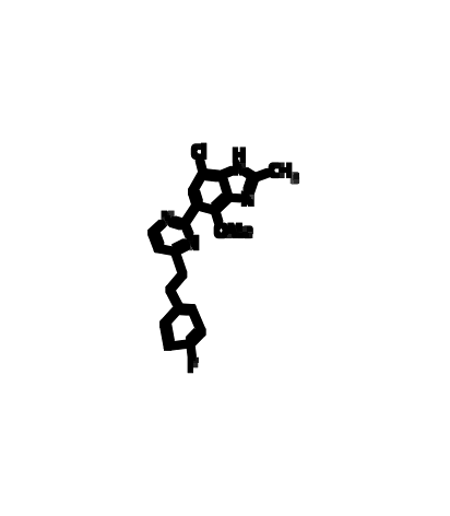 COc1c(-c2nccc(CCc3ccc(F)cc3)n2)cc(Cl)c2[nH]c(C)nc12